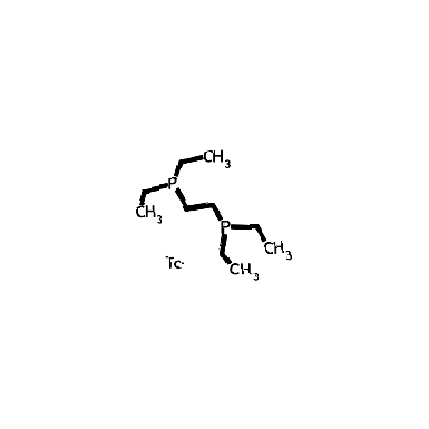 CCP(CC)CCP(CC)CC.[Tc]